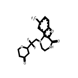 O=C1CCOC(C(F)(F)CN2CCNC(=O)c3oc4ccc(C(F)(F)F)cc4c32)C1